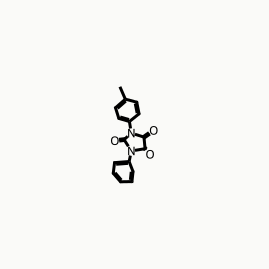 Cc1ccc(N2C(=O)C(=O)N(c3ccccc3)C2=O)cc1